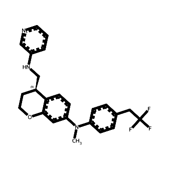 CN(c1ccc(CC(F)(F)F)cc1)c1ccc2c(c1)OCC[C@H]2CNc1cccnc1